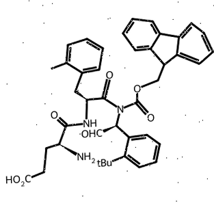 Cc1ccccc1C[C@H](NC(=O)[C@@H](N)CCC(=O)O)C(=O)N(C(=O)OCC1c2ccccc2-c2ccccc21)[C@H]([C]=O)c1ccccc1C(C)(C)C